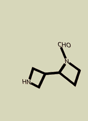 O=CN1CCC1C1CNC1